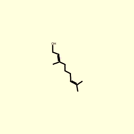 CC(C)=CCCC/C(C)=C/CO